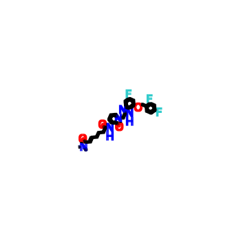 CN(C)C(=O)/C=C/CCCC(=O)Nc1cccn(Cc2nc3cc(F)cc(OCc4ccc(F)cc4F)c3[nH]2)c1=O